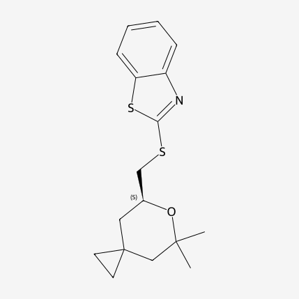 CC1(C)CC2(CC2)C[C@@H](CSc2nc3ccccc3s2)O1